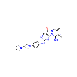 C=CCn1c(=O)c2cnc(Nc3ccc(N4CC(N5CCCC5)C4)cc3)nc2n1C(=N)/C=C\C